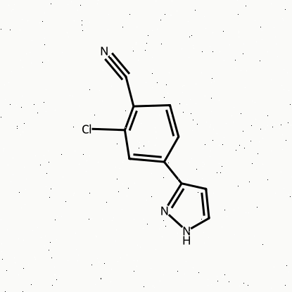 N#Cc1ccc(-c2cc[nH]n2)cc1Cl